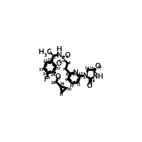 C[C@@H](NS(=O)(=O)CCc1cccc(N2CC(=O)NC2=O)n1)c1ccc(F)c(OCC2CC2)c1